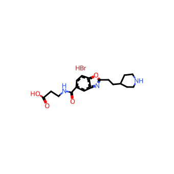 Br.O=C(O)CCNC(=O)c1ccc2oc(CCC3CCNCC3)nc2c1